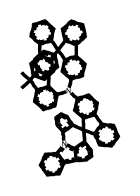 CC1(C)c2ccccc2-c2c(N(c3ccc4c(c3)C3(c5ccccc5-c5ccccc53)c3ccccc3-4)c3ccc4c(c3)C3(c5ccccc5-4)c4ccccc4-n4c5ccccc5c5cccc3c54)cccc21